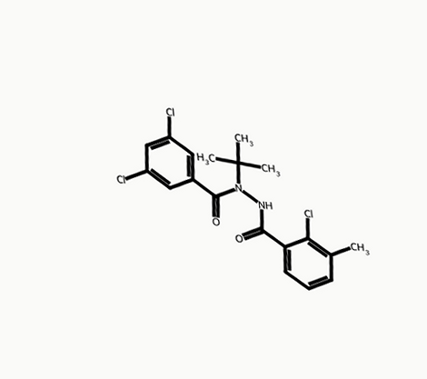 Cc1cccc(C(=O)NN(C(=O)c2cc(Cl)cc(Cl)c2)C(C)(C)C)c1Cl